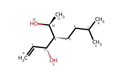 C=C[C@@H](O)[C@@H](CCC(C)C)[C@H](C)O